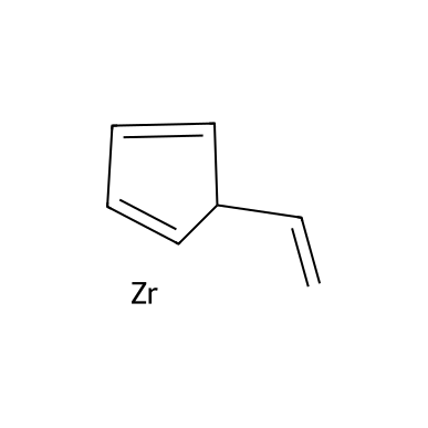 C=CC1C=CC=C1.[Zr]